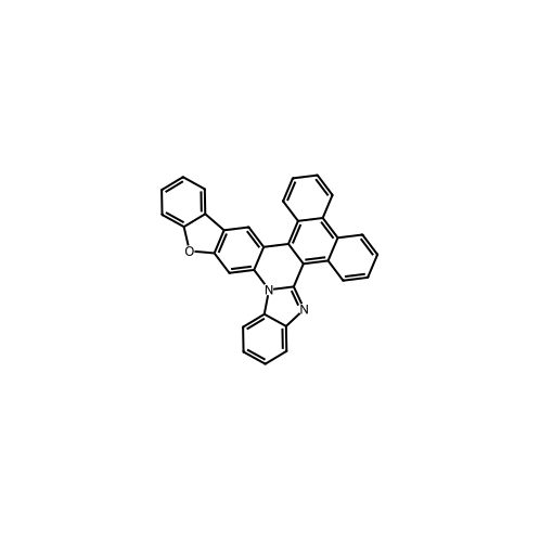 c1ccc2c(c1)nc1c3c4ccccc4c4ccccc4c3c3cc4c(cc3n21)oc1ccccc14